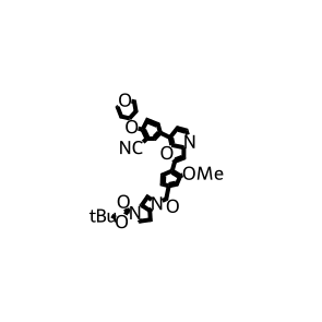 COc1cc(C(=O)N2CC3C2CCN3C(=O)OC(C)(C)C)ccc1-c1cc2nccc(-c3ccc(OC4CCOCC4)c(C#N)c3)c2o1